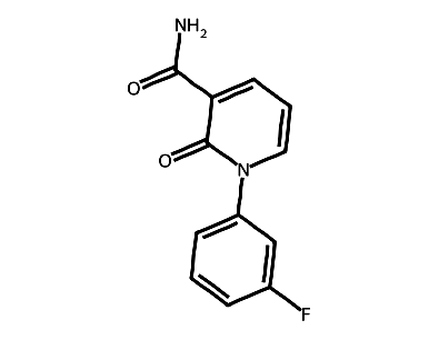 NC(=O)c1cccn(-c2cccc(F)c2)c1=O